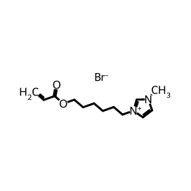 C=CC(=O)OCCCCCC[n+]1ccn(C)c1.[Br-]